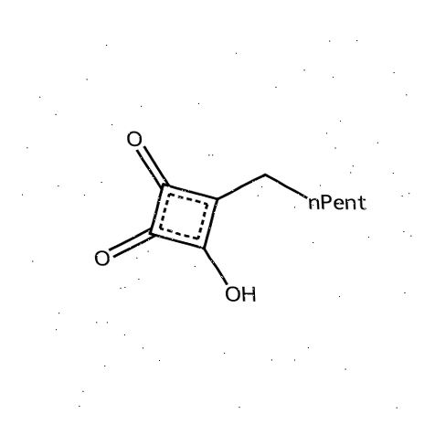 CCCCCCc1c(O)c(=O)c1=O